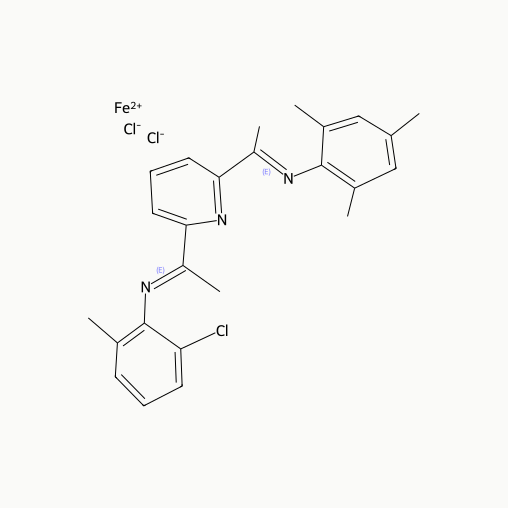 C/C(=N\c1c(C)cc(C)cc1C)c1cccc(/C(C)=N/c2c(C)cccc2Cl)n1.[Cl-].[Cl-].[Fe+2]